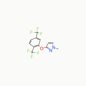 Cn1[c]cc(Oc2cc(C(F)(F)F)ccc2C(F)(F)F)n1